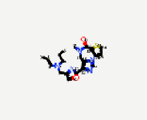 CCCN(CCC)Cc1coc(-c2ncn3c2CN(C)C(=O)c2sccc2-3)n1